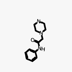 O=C(CN1CC[N]CC1)Nc1ccccc1